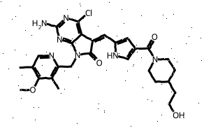 COc1c(C)cnc(CN2C(=O)/C(=C\c3cc(C(=O)N4CCC(CCO)CC4)c[nH]3)c3c(Cl)nc(N)nc32)c1C